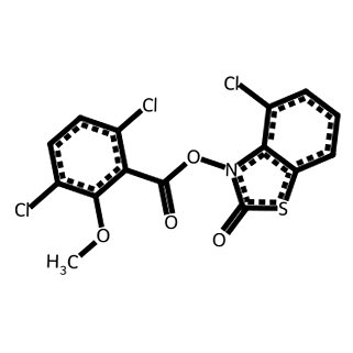 COc1c(Cl)ccc(Cl)c1C(=O)On1c(=O)sc2cccc(Cl)c21